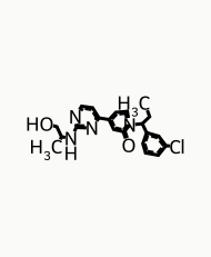 CCC(c1cccc(Cl)c1)n1ccc(-c2ccnc(NC(C)CO)n2)cc1=O